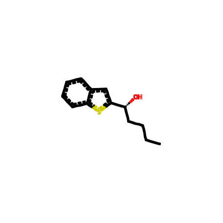 CCCC[C@@H](O)c1cc2ccccc2s1